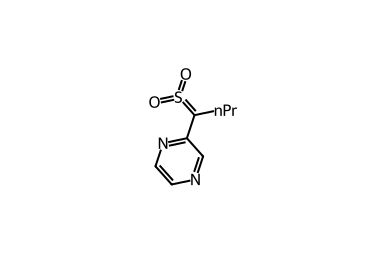 CCCC(c1cnccn1)=S(=O)=O